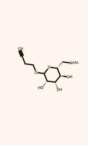 C#CCCOC1O[C@H](CNC(C)=O)[C@@H](O)[C@H](O)[C@@H]1O